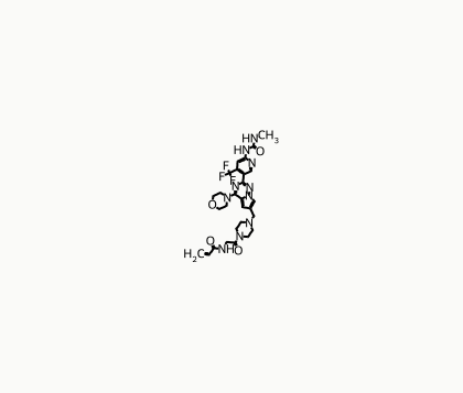 C=CC(=O)NCC(=O)N1CCN(Cc2cc3c(N4CCOCC4)nc(-c4cnc(NC(=O)NC)cc4C(F)(F)F)nn3c2)CC1